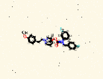 COc1ccc(CC[N+]23CCC(CC2)[C@@H](OC(=O)N(Cc2ccc(F)cc2)c2cccc(F)c2)C3)cc1